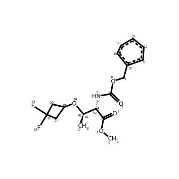 COC(=O)[C@@H](NC(=O)OCc1ccccc1)[C@@H](C)OC1CC(F)(F)C1